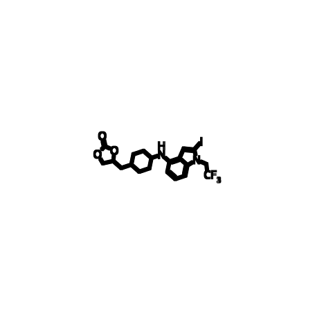 O=C1OCC(CC2CCC(Nc3cccc4c3cc(I)n4CC(F)(F)F)CC2)O1